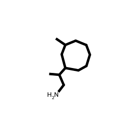 CC1CCCCCC(C(C)CN)C1